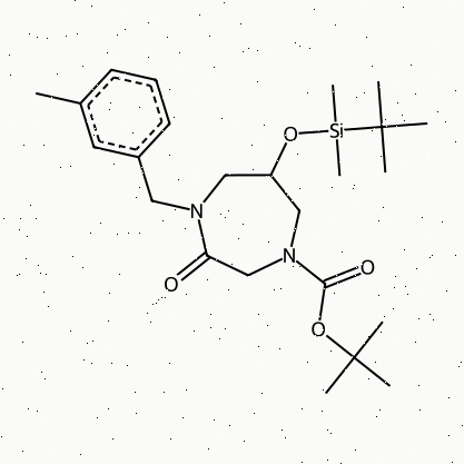 Cc1cccc(CN2CC(O[Si](C)(C)C(C)(C)C)CN(C(=O)OC(C)(C)C)CC2=O)c1